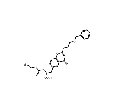 CC(C)(C)COC(=O)N[C@@H](Cc1ccc2oc(CCCOCc3ccccc3)cc(=O)c2c1)C(=O)O